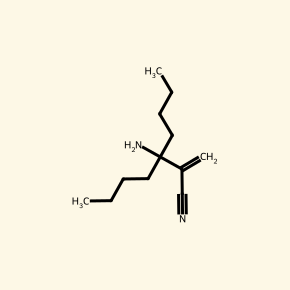 C=C(C#N)C(N)(CCCC)CCCC